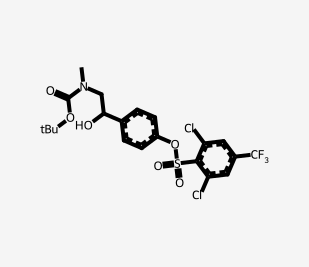 CN(CC(O)c1ccc(OS(=O)(=O)c2c(Cl)cc(C(F)(F)F)cc2Cl)cc1)C(=O)OC(C)(C)C